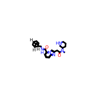 CN(C(=O)Cc1cn2c(C(=O)NC[C@@H]3CC[C@@H]4C[C@@H]3C4(C)C)cccc2n1)C1CCCNC1